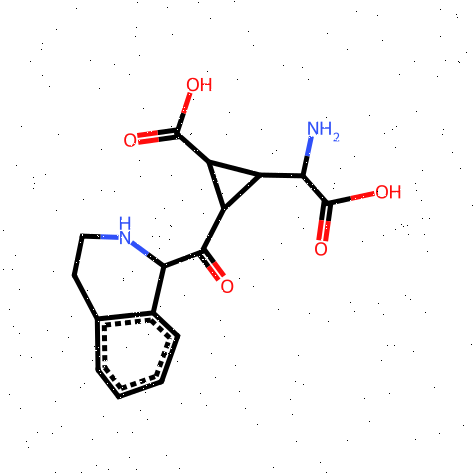 NC(C(=O)O)C1C(C(=O)O)C1C(=O)C1NCCc2ccccc21